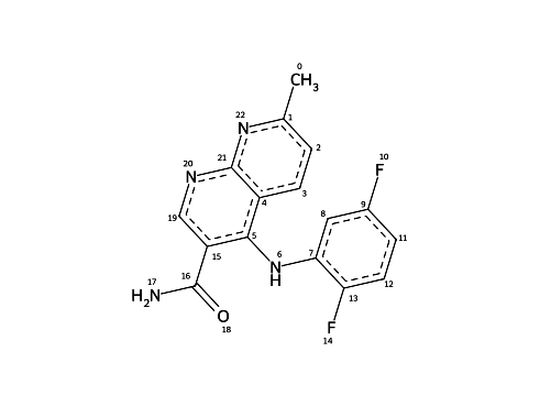 Cc1ccc2c(Nc3cc(F)ccc3F)c(C(N)=O)cnc2n1